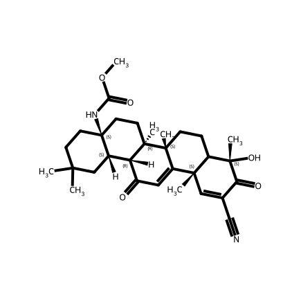 COC(=O)N[C@]12CCC(C)(C)C[C@H]1[C@H]1C(=O)C=C3[C@@]4(C)C=C(C#N)C(=O)[C@@](C)(O)C4CC[C@@]3(C)[C@]1(C)CC2